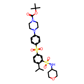 CC(C)c1ccc(S(=O)(=O)c2ccc(N3CCN(C(=O)OC(C)(C)C)CC3)cc2)cc1S(=O)(=O)NC1CCOCC1